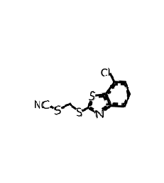 N#CSCSc1nc2cccc(Cl)c2s1